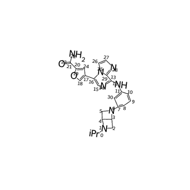 CC(C)N1CC2C1CN2c1cccc(Nc2ncc(-c3coc(C(N)=O)c3)n3ccnc23)c1